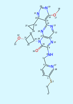 CCSc1ccc(CNc2nc3cnc(-c4c(OC)ncnc4C4CC4)nc3n([C@H]3C[C@@H](OC)C3)c2=O)nc1